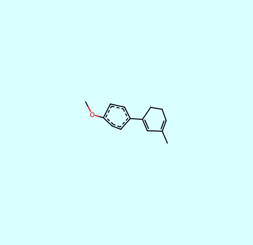 COc1ccc(C2=CC(C)=CC[CH]2)cc1